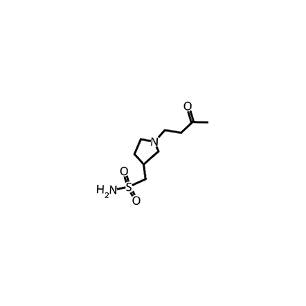 CC(=O)CCN1CCC(CS(N)(=O)=O)C1